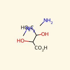 CN.CN.O=C(O)C(O)C(O)C(=O)O